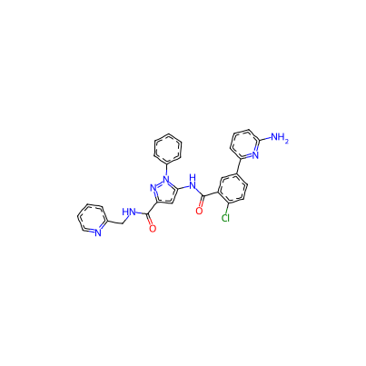 Nc1cccc(-c2ccc(Cl)c(C(=O)Nc3cc(C(=O)NCc4ccccn4)nn3-c3ccccc3)c2)n1